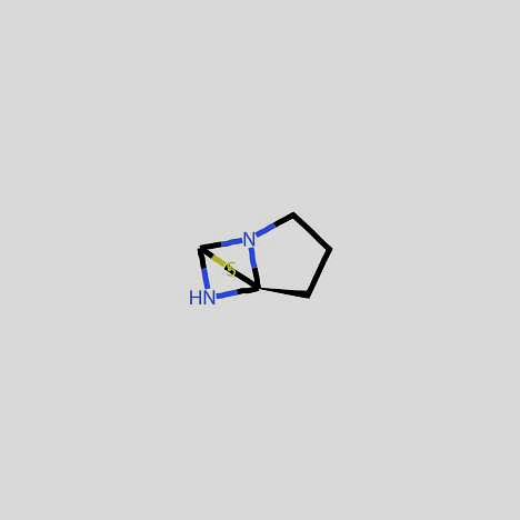 C1CN2C3N[C@]2(C1)CS3